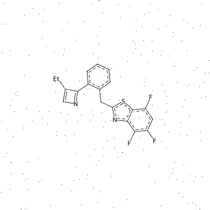 CCC1=CN=C1c1ccccc1Cc1nc2c(F)c(F)cc(F)c2s1